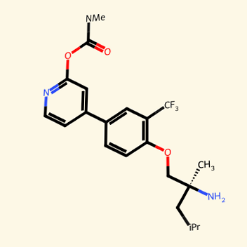 CNC(=O)Oc1cc(-c2ccc(OC[C@@](C)(N)CC(C)C)c(C(F)(F)F)c2)ccn1